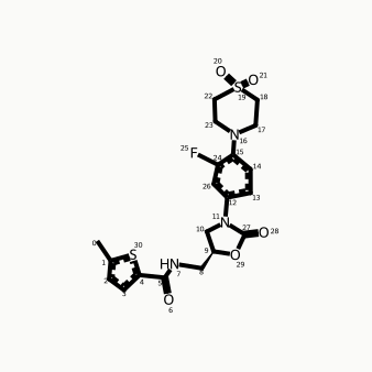 Cc1ccc(C(=O)NC[C@H]2CN(c3ccc(N4CCS(=O)(=O)CC4)c(F)c3)C(=O)O2)s1